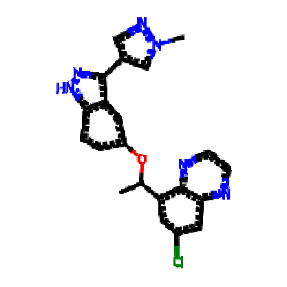 CC(Oc1ccc2[nH]nc(-c3cnn(C)c3)c2c1)c1cc(Cl)cc2nccnc12